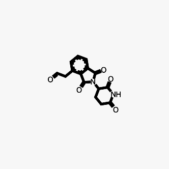 O=CCc1cccc2c1C(=O)N(C1CCC(=O)NC1=O)C2=O